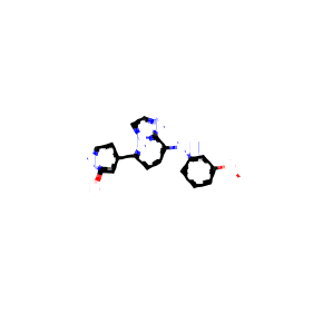 COc1cccc(Nc2ccc(-c3cc[nH]c(=O)c3)n3ccnc23)c1